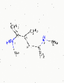 C=C(CC(C)C(=C)NC(C)(C)C)NC(C)(C)C